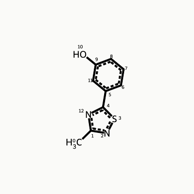 Cc1nsc(-c2cccc(O)c2)n1